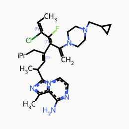 C=C(C(=C(F)/C(Cl)=C\C)/C(=C/C(C)c1nc(C)c2c(N)nccn12)CC(C)C)N1CCN(CC2CC2)CC1